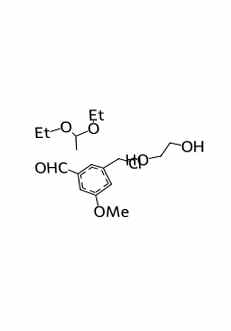 CCOC(C)OCC.COc1cc(C=O)cc(CCl)c1.OCCO